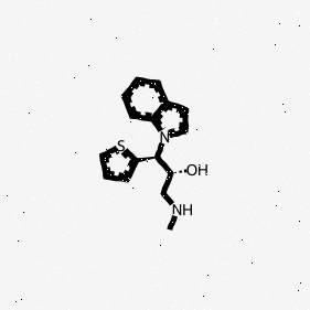 CNC[C@@H](O)[C@@H](c1cccs1)n1ccc2ccccc21